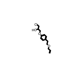 C=CCOCCc1ccc(OCC(O)CCl)cc1